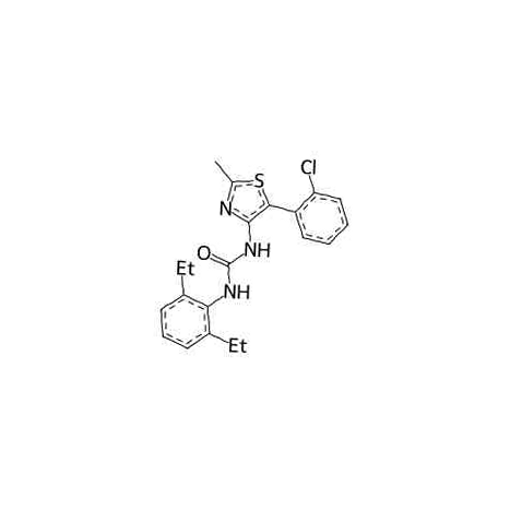 CCc1cccc(CC)c1NC(=O)Nc1nc(C)sc1-c1ccccc1Cl